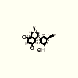 C#Cc1cccc([C@@H]2CN(C)Cc3c(Cl)cc(Cl)cc32)c1.Cl